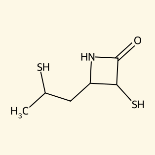 CC(S)CC1NC(=O)C1S